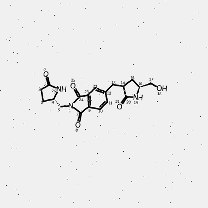 O=C1CC[C@@H](CN2C(=O)c3ccc(CC4C[C@@H](CO)NC4=O)cc3C2=O)N1